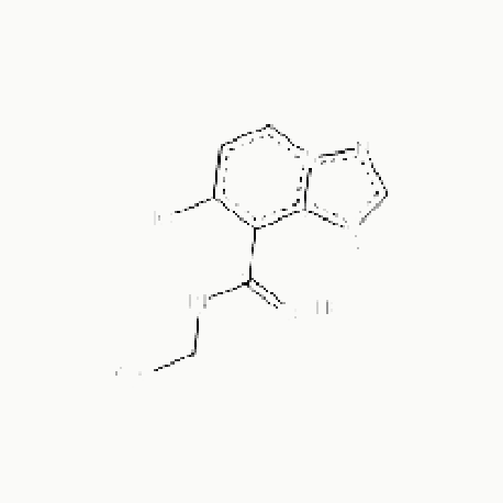 Cl.O=C(O)CNC(=O)c1c(O)ccn2ncnc12